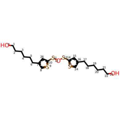 OCCCCCCc1csc(SOSc2cc(CCCCCCO)cs2)c1